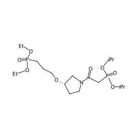 CCOP(=O)(CCCO[C@H]1CCN(C(=O)CP(=O)(OC(C)C)OC(C)C)C1)OCC